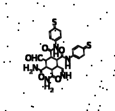 N=CC1C(C(N)=O)C(C(N)=O)C(C=O)C(C(=O)NC2=CCC(=S)C=C2)C1C(=O)NC1=CCC(=S)C=C1